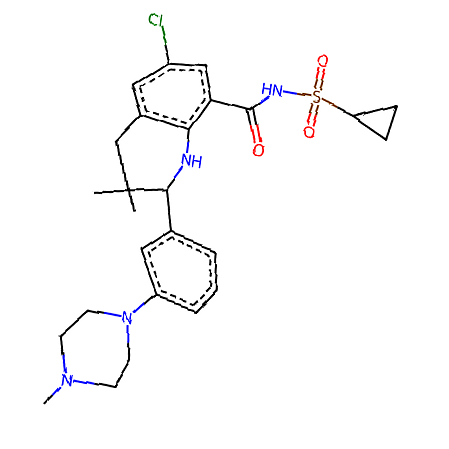 CN1CCN(c2cccc(C3Nc4c(cc(Cl)cc4C(=O)NS(=O)(=O)C4CC4)CC3(C)C)c2)CC1